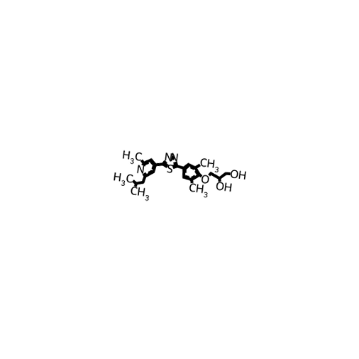 Cc1cc(-c2nnc(-c3cc(C)c(OCC(O)CO)c(C)c3)s2)cc(CC(C)C)n1